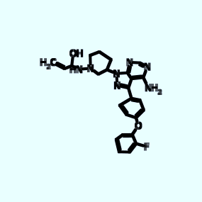 C=CC(O)NN1CCCC(n2nc(-c3ccc(Oc4ccccc4F)cc3)c3c(N)ncnc32)C1